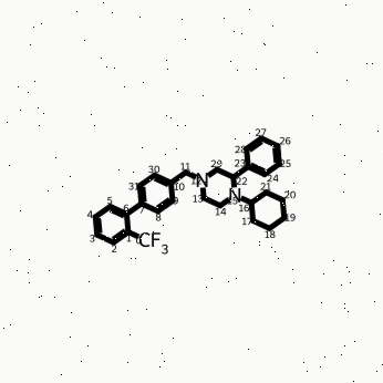 FC(F)(F)c1ccccc1-c1ccc(CN2CCN(C3CCCCC3)C(c3ccccc3)C2)cc1